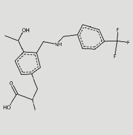 CC(Cc1ccc(C(C)O)c(CNCc2ccc(C(F)(F)F)cc2)c1)C(=O)O